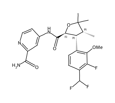 COc1c([C@@H]2[C@@H](C(=O)Nc3ccnc(C(N)=O)c3)OC(C)(C)[C@@H]2C)ccc(C(F)F)c1F